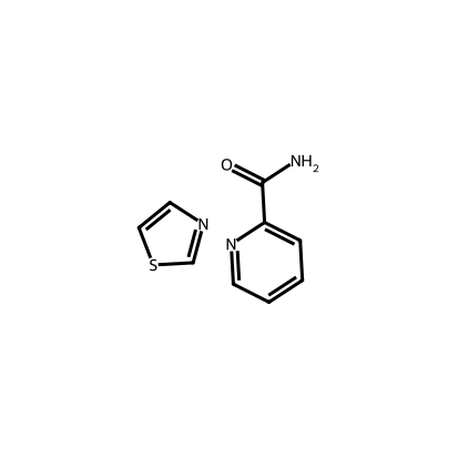 NC(=O)c1ccccn1.c1cscn1